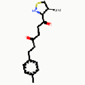 Cc1ccc(CCC(=O)CCC(=O)C2NSC[C@H]2C=O)cc1